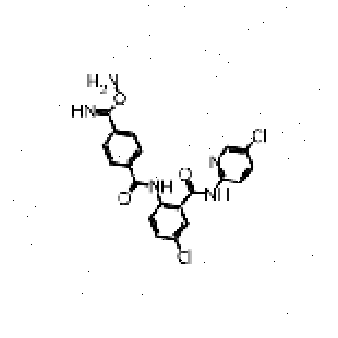 N=C(ON)c1ccc(C(=O)Nc2ccc(Cl)cc2C(=O)Nc2ccc(Cl)cn2)cc1